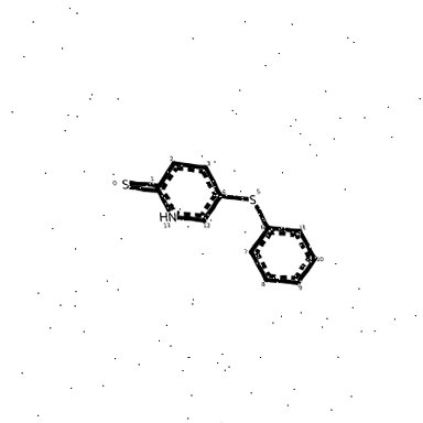 S=c1ccc(Sc2ccccc2)c[nH]1